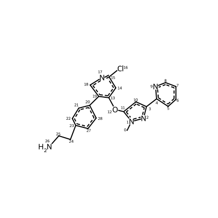 Cn1nc(-c2ccccn2)cc1Oc1cc(Cl)ncc1-c1ccc(CCN)cc1